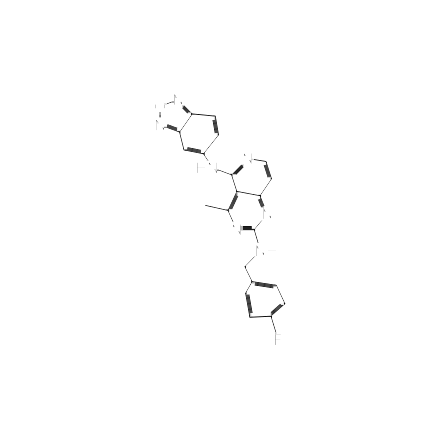 Cc1nc(NCc2ccc(F)cc2)nc2ccnc(Nc3ccc4nonc4c3)c12